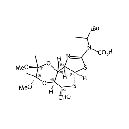 CO[C@@]1(C)O[C@@H]2[C@H]3N=C(N(C(=O)O)C(C)C(C)(C)C)S[C@H]3S[C@H](C=O)[C@H]2O[C@]1(C)OC